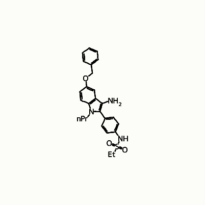 CCCn1c(-c2ccc(NS(=O)(=O)CC)cc2)c(N)c2cc(OCc3ccccc3)ccc21